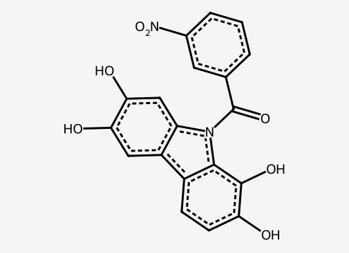 O=C(c1cccc([N+](=O)[O-])c1)n1c2cc(O)c(O)cc2c2ccc(O)c(O)c21